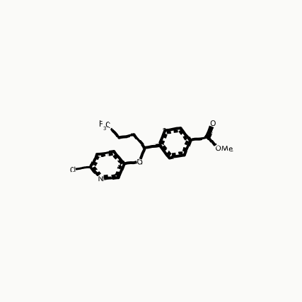 COC(=O)c1ccc(C(CCC(F)(F)F)Oc2ccc(Cl)nc2)cc1